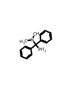 CN(C)C(P)(c1ccccc1)c1ccccc1